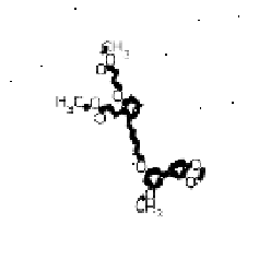 CCOC(=O)CCCOc1cccc(CCCCCCOc2cc(OCC)cc(-c3ccc4c(c3)OCCO4)c2)c1CCC(=O)OCC